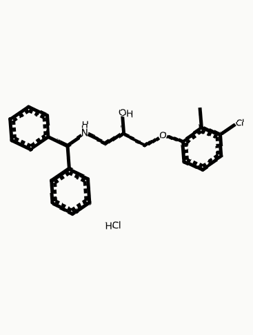 Cc1c(Cl)cccc1OCC(O)CNC(c1ccccc1)c1ccccc1.Cl